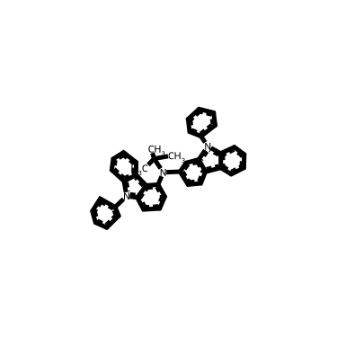 CC(C)(C)N(c1ccc2c3ccccc3n(-c3ccccc3)c2c1)c1cccc2c1c1ccccc1n2-c1ccccc1